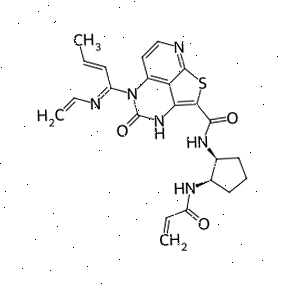 C=C/N=C(\C=C\C)N1C(=O)Nc2c(C(=O)N[C@H]3CCC[C@H]3NC(=O)C=C)sc3nccc1c23